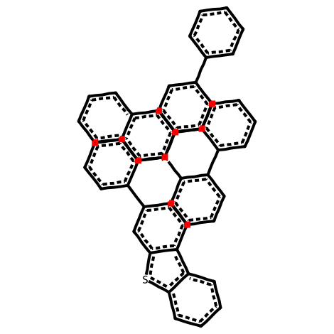 c1ccc(-c2ccc(N(c3ccccc3-c3ccc4c(c3)sc3ccccc34)c3ccccc3-c3ccccc3-c3ccc4ccccc4c3)cc2)cc1